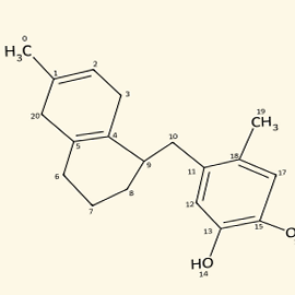 CC1=CCC2=C(CCCC2Cc2cc(O)c(O)cc2C)C1